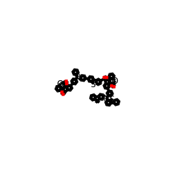 CC1(C)c2ccccc2-c2ccc(N(c3cccc(-c4ccc5c(c4)C4(c6ccccc6Oc6ccccc64)c4cccc(-c6ccc7sc8cc(-c9ccc(N(c%10ccccc%10)c%10ccc(-c%11ccc%12c(c%11)C%11(c%13ccccc%13Oc%13ccccc%13%11)c%11ccccc%11-%12)cc%10)cc9)ccc8c7c6)c4-5)c3)c3cccc4c3sc3ccccc34)cc21